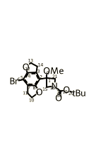 COC1(c2c3c(c(Br)c4c2OCC4)OCC3)CN(C(=O)OC(C)(C)C)C1